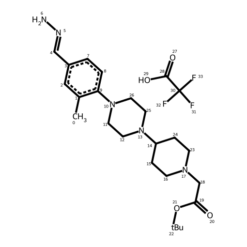 Cc1cc(C=NN)ccc1N1CCN(C2CCN(CC(=O)OC(C)(C)C)CC2)CC1.O=C(O)C(F)(F)F